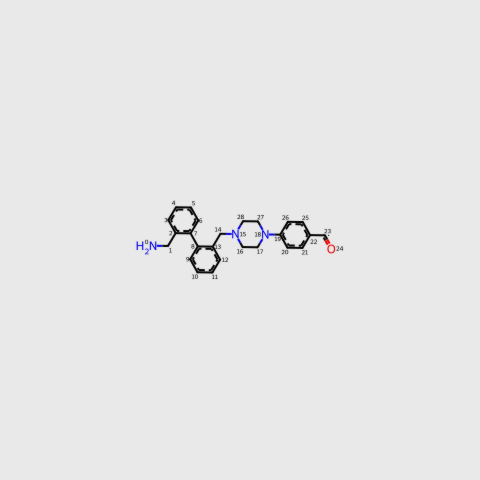 NCc1ccccc1-c1ccccc1CN1CCN(c2ccc([C]=O)cc2)CC1